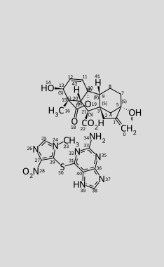 C=C1C[C@]23C[C@@]1(O)CC[C@H]2[C@@]12C=C[C@H](O)[C@@](C)(C(=O)O1)[C@H]2[C@@H]3C(=O)O.Cn1cnc([N+](=O)[O-])c1Sc1nc(N)nc2nc[nH]c12